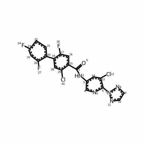 O=C(Nc1cnc(-n2nccn2)c(Cl)c1)c1cc(F)c(-c2ccc(F)cc2F)cc1Cl